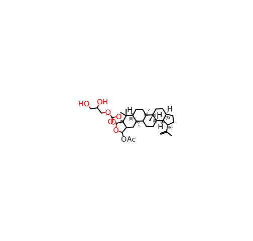 C=C(C)[C@@H]1CC[C@@H]2CC[C@]3(C)[C@H](CCC4[C@@]5(C)CC6C(OC(C)=O)OC(=O)[C@@]6(OC(=O)OCC(O)CO)C(C)(C)[C@@H]5CC[C@]43C)[C@H]21